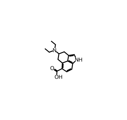 CCN(CC)C1Cc2c[nH]c3ccc(C(=O)O)c(c23)C1